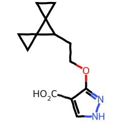 O=C(O)c1c[nH]nc1OCCC1C2(CC2)C12CC2